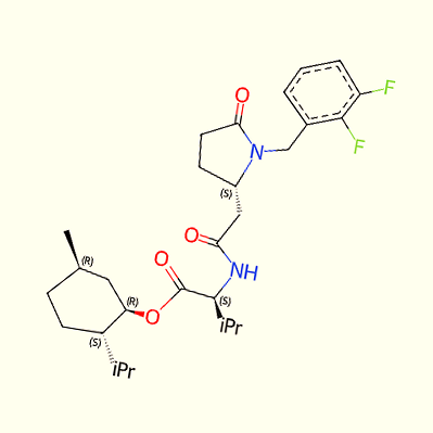 CC(C)[C@H](NC(=O)C[C@@H]1CCC(=O)N1Cc1cccc(F)c1F)C(=O)O[C@@H]1C[C@H](C)CC[C@H]1C(C)C